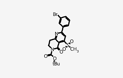 CC(C)(C)OC(=O)N1CCc2nc(-c3cccc(Br)c3)cc(S(C)(=O)=O)c2C1=O